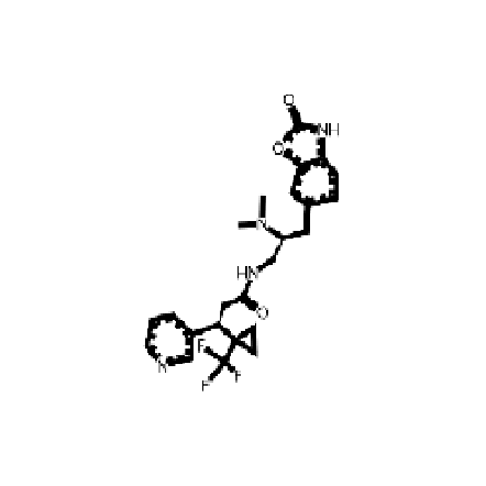 CN(C)[C@H](CNC(=O)C[C@H](c1cccnc1)C1(C(F)(F)F)CC1)Cc1ccc2[nH]c(=O)oc2c1